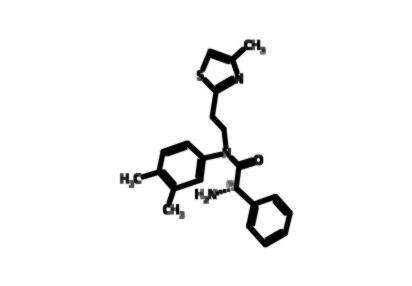 Cc1csc(CCN(C(=O)[C@@H](N)c2ccccc2)c2ccc(C)c(C)c2)n1